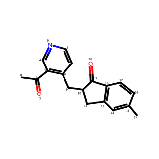 CC(=O)c1cnccc1CC1Cc2cc(C)ccc2C1=O